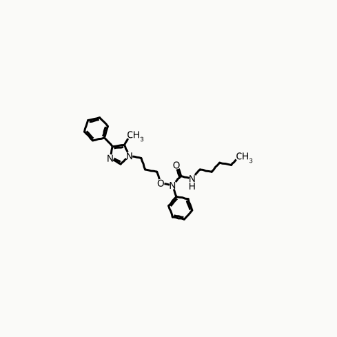 CCCCCNC(=O)N(OCCCn1cnc(-c2ccccc2)c1C)c1ccccc1